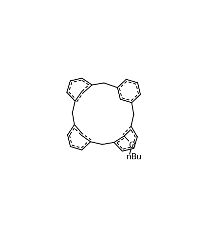 CCCCOc1c2cccc1Cc1cccc(c1)Cc1cccc(c1)Cc1cccc(c1)C2